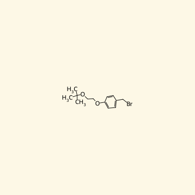 CC(C)(C)OCCOc1ccc(CBr)cc1